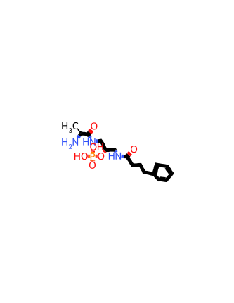 C[C@@H](N)C(=O)NCC(CNC(=O)CCCc1ccccc1)OP(=O)(O)O